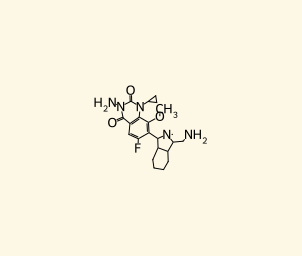 COc1c(C2[N]C(CN)C3CCCCC23)c(F)cc2c(=O)n(N)c(=O)n(C3CC3)c12